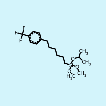 CO[Si](CCCCCCc1ccc(C(F)(F)F)cc1)(OC)OC(C)C